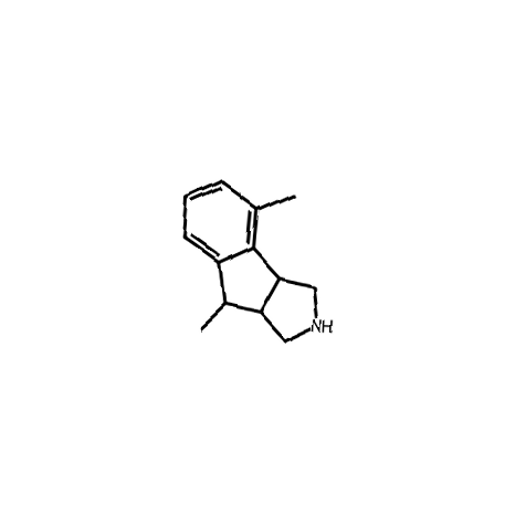 Cc1cccc2c1C1CNCC1C2C